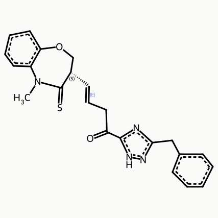 CN1C(=S)[C@@H](/C=C/CC(=O)c2nc(Cc3ccccc3)n[nH]2)COc2ccccc21